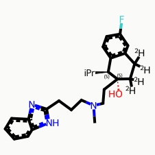 [2H]C1([2H])c2cc(F)ccc2[C@H](C(C)C)[C@](O)(CCN(C)CCCc2nc3ccccc3[nH]2)C1([2H])[2H]